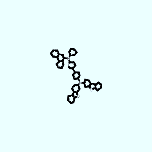 c1ccc(N(c2ccc(-c3ccc(N(c4ccc5c(c4)oc4ccccc45)c4ccc5c(c4)oc4ccccc45)cc3)cc2)c2cc3ccccc3c3ccccc23)cc1